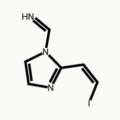 N=Cn1ccnc1/C=C\I